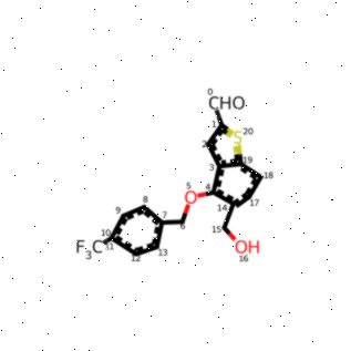 O=Cc1cc2c(OCc3ccc(C(F)(F)F)cc3)c(CO)ccc2s1